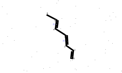 [CH]=C/C=C/C=C/C